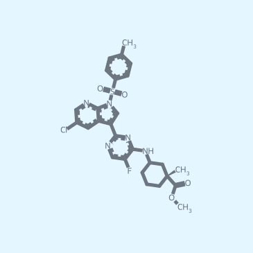 COC(=O)[C@]1(C)CCCC(Nc2nc(-c3cn(S(=O)(=O)c4ccc(C)cc4)c4ncc(Cl)cc34)ncc2F)C1